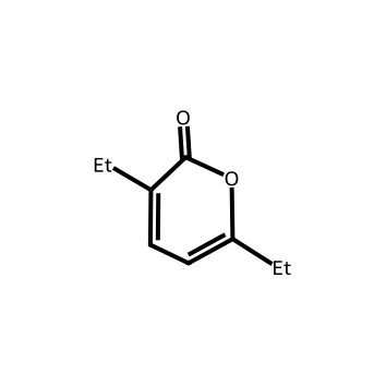 CCc1ccc(CC)c(=O)o1